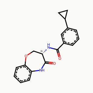 O=C(N[C@H]1COc2ccccc2NC1=O)c1cccc(C2CC2)c1